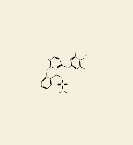 COc1c(C)cc(Nc2ncc(C)c(Nc3ccccc3CNS(=O)(=O)N(C)C)n2)cc1Cl